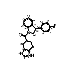 O=C(C1CCc2[nH]cnc2C1)N1CC(c2ccc(F)cc2)c2ccccc21